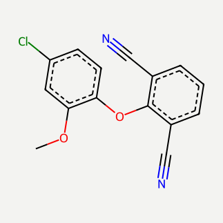 COc1cc(Cl)ccc1Oc1c(C#N)cccc1C#N